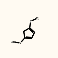 CCSC1=CC=C(SCC)C1